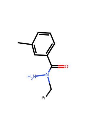 Cc1cccc(C(=O)N(N)CC(C)C)c1